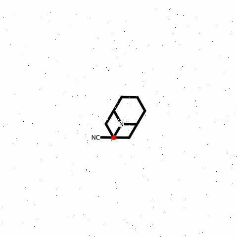 N#CCN1C2CCCC1CCC2